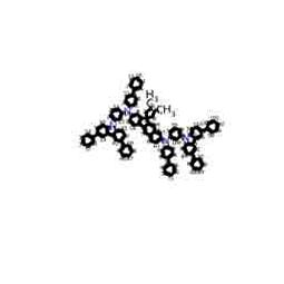 CCCC1(CCC)c2cc(N(c3ccc(-c4ccccc4)cc3)c3cccc(-n4c5ccc(-c6ccccc6)cc5c5cc(-c6ccccc6)ccc54)c3)ccc2-c2cc3ccc(N(c4ccc(-c5ccccc5)cc4)c4cccc(-n5c6ccc(-c7ccccc7)cc6c6cc(-c7ccccc7)ccc65)c4)cc3cc21